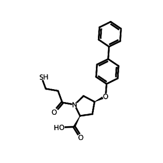 O=C(O)[C@@H]1C[C@H](Oc2ccc(-c3ccccc3)cc2)CN1C(=O)CCS